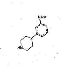 CNc1cccc(C2CCNCC2)c1